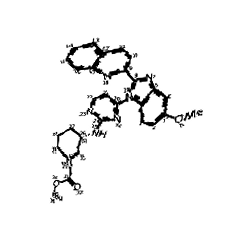 COc1ccc2c(c1)nc(-c1ccc3ccccc3n1)n2-c1ccnc(N[C@H]2CCCN(C(=O)OC(C)(C)C)C2)n1